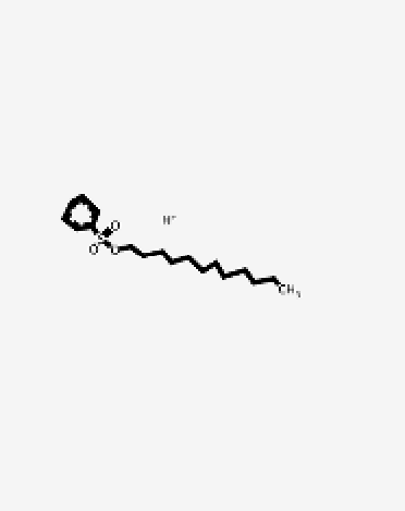 CCCCCCCCCCCCOS(=O)(=O)c1ccccc1.[H+]